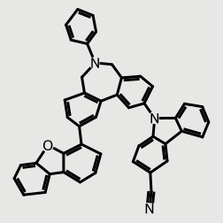 N#Cc1ccc2c(c1)c1ccccc1n2-c1ccc2c(c1)-c1cc(-c3cccc4c3oc3ccccc34)ccc1CN(c1ccccc1)C2